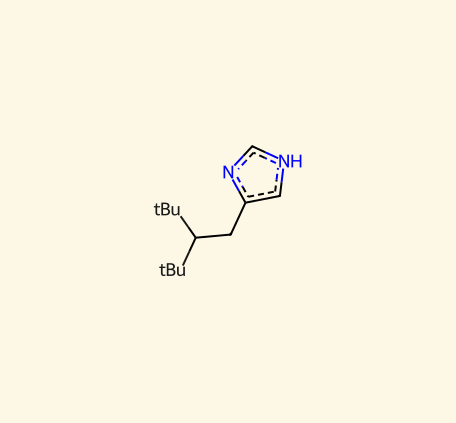 CC(C)(C)C(Cc1c[nH]cn1)C(C)(C)C